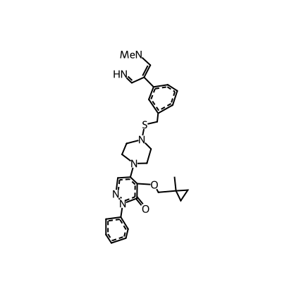 CN/C=C(\C=N)c1cccc(CSN2CCN(c3cnn(-c4ccccc4)c(=O)c3OCC3(C)CC3)CC2)c1